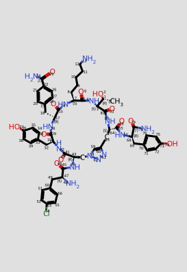 C[C@@H](O)[C@@H]1NC(=O)[C@H](CCCCCN)NC(=O)[C@@H](Cc2ccc(C(N)=O)cc2)NC(=O)[C@H](Cc2ccc(O)cc2)NC(=O)[C@H](NC(=O)[C@@H](N)Cc2ccc(Cl)cc2)Cn2cc(nn2)C[C@@H](C(=O)N[C@H](Cc2ccc(O)cc2)C(N)=O)NC1=O